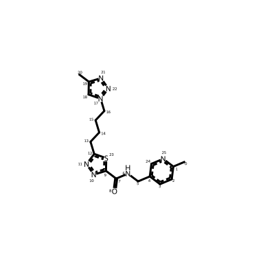 Cc1ccc(CNC(=O)c2nnc(CCCCn3cc(C)nn3)s2)cn1